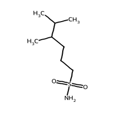 CC(C)C(C)CCCS(N)(=O)=O